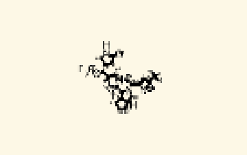 CC(C)(F)c1cc(C(=O)N2C[C@@H]3CCC[C@@H]3[C@H]2C(=O)N[C@@H](C[C@@H]2CCNC2=O)C(=O)COC(F)(F)F)no1